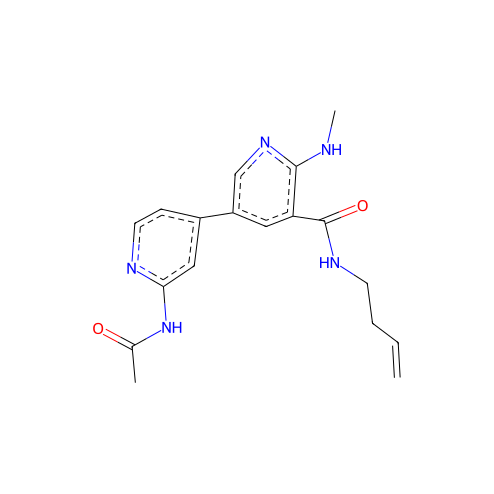 C=CCCNC(=O)c1cc(-c2ccnc(NC(C)=O)c2)cnc1NC